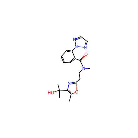 Cc1oc(CCN(C)C(=O)c2ccccc2-n2nccn2)nc1C(C)(C)O